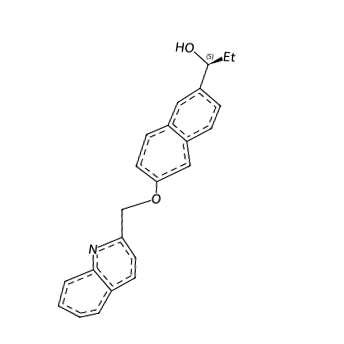 CC[C@H](O)c1ccc2cc(OCc3ccc4ccccc4n3)ccc2c1